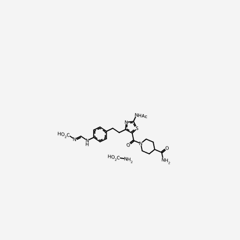 CC(=O)Nc1nc(CCc2ccc(NC=NC(=O)O)cc2)c(C(=O)N2CCC(C(N)=O)CC2)s1.NC(=O)O